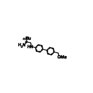 CC[C@H](C)[C@H](N)CNc1ccc(-c2ccc(COC)cc2)cc1